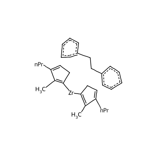 CCCC1=CC[C]([Zr][C]2=C(C)C(CCC)=CC2)=C1C.c1ccc(CCc2ccccc2)cc1